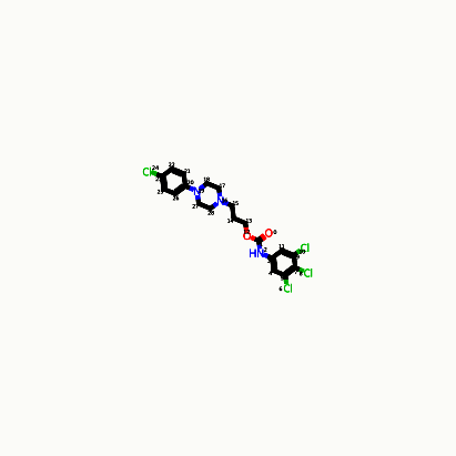 O=C(Nc1cc(Cl)c(Cl)c(Cl)c1)OCCCN1CCN(c2ccc(Cl)cc2)CC1